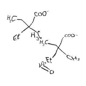 CCC(C)(C)C(=O)[O-].CCC(C)(C)C(=O)[O-].[O]=[V+2]